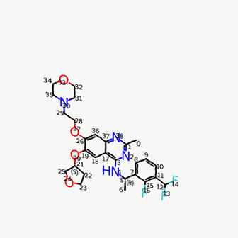 Cc1nc(N[C@H](C)c2cccc(C(F)F)c2F)c2cc(O[C@H]3CCOC3)c(OCCN3CCOCC3)cc2n1